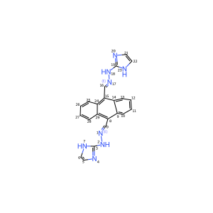 C(=N\Nc1ncc[nH]1)/c1c2ccccc2c(/C=N/Nc2ncc[nH]2)c2ccccc12